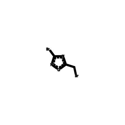 BrCc1nc(Br)no1